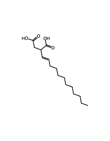 CCCCCCCCCCC=CC(CC(=O)O)C(=O)O